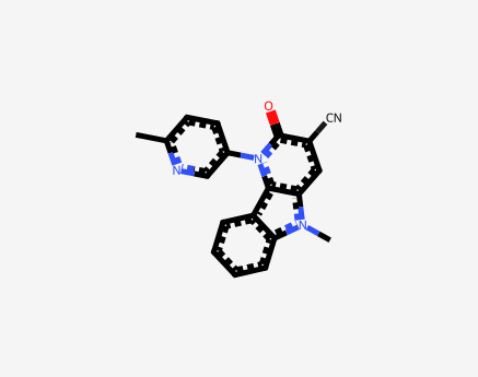 Cc1ccc(-n2c(=O)c(C#N)cc3c2c2ccccc2n3C)cn1